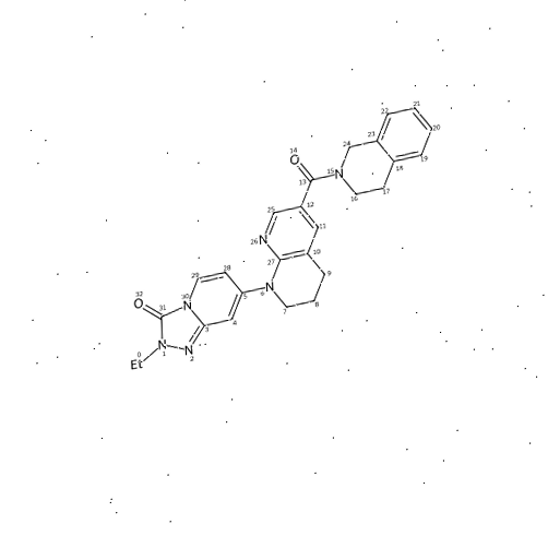 CCn1nc2cc(N3CCCc4cc(C(=O)N5CCc6ccccc6C5)cnc43)ccn2c1=O